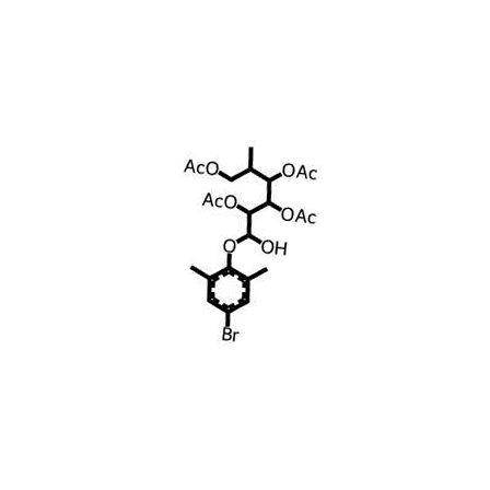 CC(=O)OCC(C)C(OC(C)=O)C(OC(C)=O)C(OC(C)=O)C(O)Oc1c(C)cc(Br)cc1C